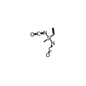 C=C[Si](C)(N=C=O)N=C=O